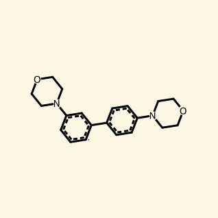 [c]1ccc(N2CCOCC2)cc1-c1ccc(N2CCOCC2)cc1